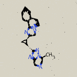 Cc1cncc2nc([C@@H]3C[C@H]3c3cn4ccc5ccccc5c4n3)nn12